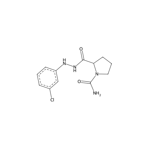 NC(=O)N1CCCC1C(=O)NNc1cccc(Cl)c1